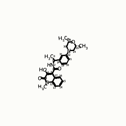 CC(NC(=O)c1c(O)c(=O)n(C)c2ccccc12)c1cccc(N2C[C@@H](C)O[C@@H](C)C2)c1